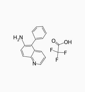 Nc1ccc2ncccc2c1-c1ccccc1.O=C(O)C(F)(F)F